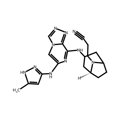 Cc1cc(Nc2cn3cnnc3c(NC3CC4CC[C@@H](C3)N4CCC#N)n2)n[nH]1